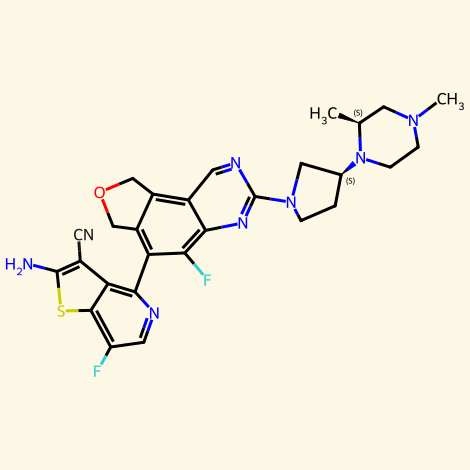 C[C@H]1CN(C)CCN1[C@H]1CCN(c2ncc3c4c(c(-c5ncc(F)c6sc(N)c(C#N)c56)c(F)c3n2)COC4)C1